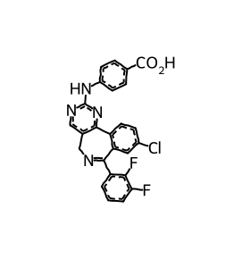 O=C(O)c1ccc(Nc2ncc3c(n2)-c2ccc(Cl)cc2C(c2cccc(F)c2F)=NC3)cc1